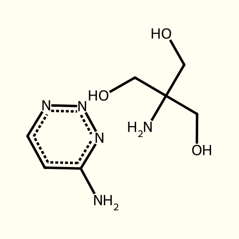 NC(CO)(CO)CO.Nc1ccnnn1